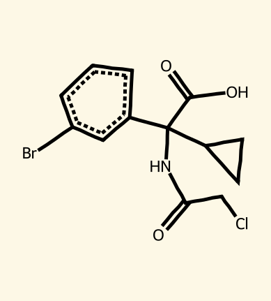 O=C(CCl)NC(C(=O)O)(c1cccc(Br)c1)C1CC1